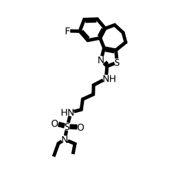 CCN(CC)S(=O)(=O)NCCCCNc1nc2c(s1)CCCc1ccc(F)cc1-2